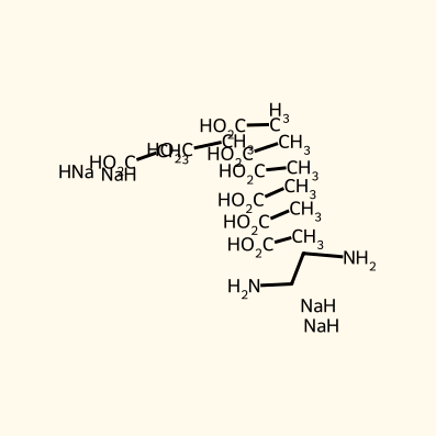 CC(=O)O.CC(=O)O.CC(=O)O.CC(=O)O.CC(=O)O.CC(=O)O.CC(=O)O.CC(=O)O.NCCN.[NaH].[NaH].[NaH].[NaH]